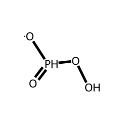 [O][PH](=O)OO